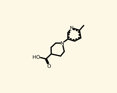 Cc1ccc(N2CCC(C(=O)O)CC2)cn1